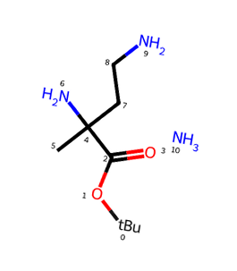 CC(C)(C)OC(=O)C(C)(N)CCN.N